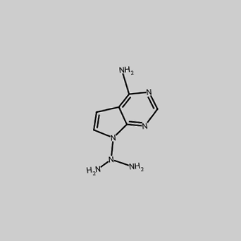 Nc1ncnc2c1ccn2N(N)N